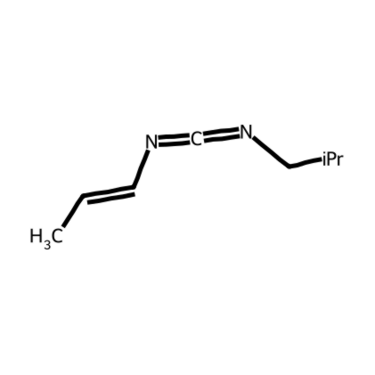 CC=CN=C=NCC(C)C